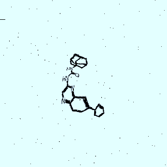 O=C(Nc1cnc2ccc(-c3ccccc3)cc2n1)NC12CC3CC(CC(C3)C1)C2